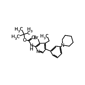 CCc1c(-c2cccc(N3CCCCC3)c2)cnc(NC(=O)OC(C)(C)C)c1Br